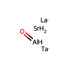 [La].[O]=[AlH].[SrH2].[Ta]